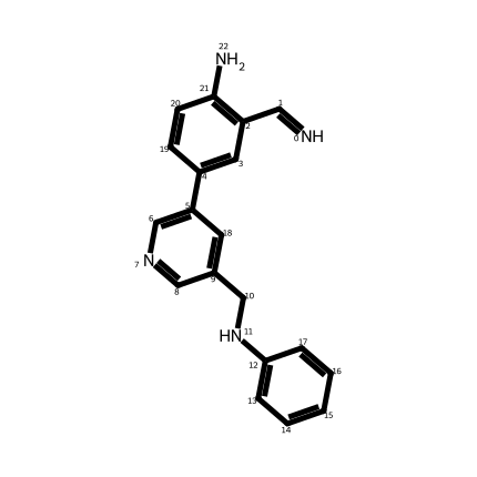 N=Cc1cc(-c2cncc(CNc3ccccc3)c2)ccc1N